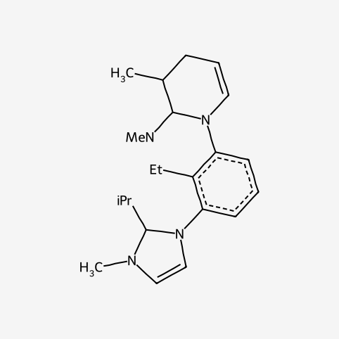 CCc1c(N2C=CCC(C)C2NC)cccc1N1C=CN(C)C1C(C)C